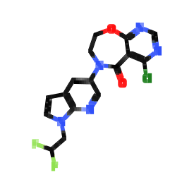 O=C1c2c(Cl)ncnc2OCCN1c1cnc2c(ccn2CC(F)F)c1